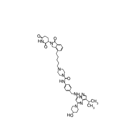 CC(C)c1cnn2c(NCc3ccc(NC(=O)N4CCN(CCCCCc5cccc6c5CN(C5CCC(=O)NC5=O)C6=O)CC4)cc3)cc(N3CCC(O)CC3)nc12